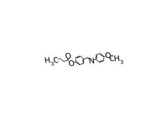 CCCC(=O)Oc1ccc(C=Nc2ccc(OC)cc2)cc1